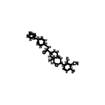 N#Cc1c(F)ccc([C@@H]2CN3CCN(C(=O)Cc4ccc(-n5cnnn5)nc4)C[C@@H]3CO2)c1F